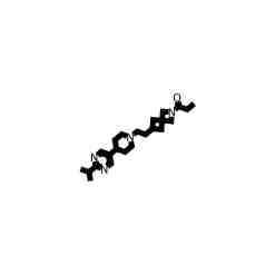 CCC(=O)N1CC2(CC(CCN3CCC(c4cnc(C(C)C)nc4)CC3)C2)C1